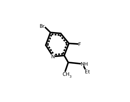 CCNC(C)c1ncc(Br)cc1F